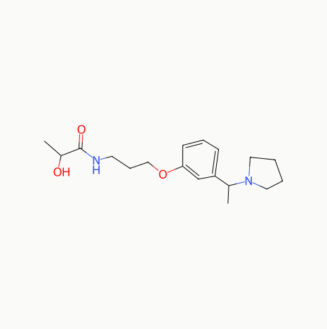 CC(O)C(=O)NCCCOc1cccc(C(C)N2CCCC2)c1